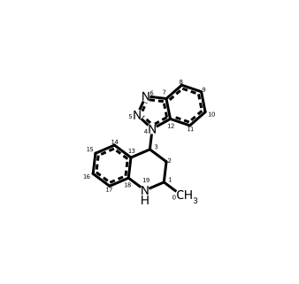 CC1CC(n2nnc3ccccc32)c2ccccc2N1